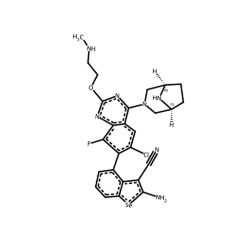 CNCCOc1nc(N2C[C@H]3CC[C@@H](C2)N3)c2cc(Cl)c(-c3cccc4[se]c(N)c(C#N)c34)c(F)c2n1